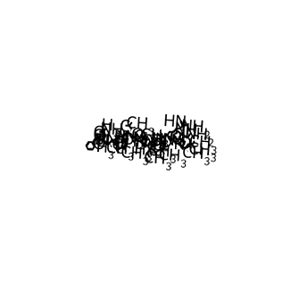 CCC(C)[C@@H](CN(CC(=O)N[C@@H](CC(C)C)CN(CC(=O)N[C@@H](C)CN(CC(N)=O)S(=O)(=O)Cc1ccccc1)S(=O)(=O)CC(C)C)S(C)(=O)=O)NC(=O)CN(C[C@H](CCCNC(=N)N)NC(=O)CN(C[C@@H](C)CC(C)C)S(=O)(=O)CCN)S(=O)(=O)CC(C)C